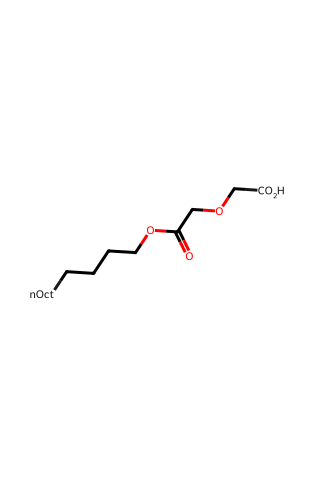 CCCCCCCCCCCCOC(=O)COCC(=O)O